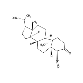 C[C@@H](C=O)[C@H]1CC[C@@H]2[C@H]3CC[C@H]4C(=[N+]=[N-])C(=O)CC[C@]4(C)[C@@H]3CC[C@]21C